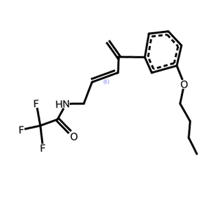 C=C(/C=C/CNC(=O)C(F)(F)F)c1cccc(OCCCC)c1